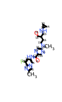 Cc1cn2cc(NC(=O)c3cnc(N(C)CCC(C=O)CNC4CC4)cn3)cc(F)c2n1